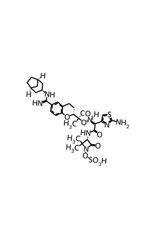 CC1(C)[C@H](NC(=O)/C(=N\O[C@](C)(C(=O)O)[C@H]2CCc3cc(C(=N)N[C@@H]4C[C@@H]5CC[C@@H](C5)C4)ccc3O2)c2csc(N)n2)C(=O)N1OS(=O)(=O)O